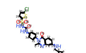 Cc1nc2cc(NCC3CC3)ccc2c(=O)n1-c1ccc(NC(=O)NS(=O)(=O)c2ccc(Cl)s2)cc1